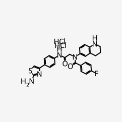 Cl.Cl.Nc1nc(-c2ccc(NC(=O)CN(C(=O)c3ccc(F)cc3)c3ccc4c(c3)CCCN4)cc2)cs1